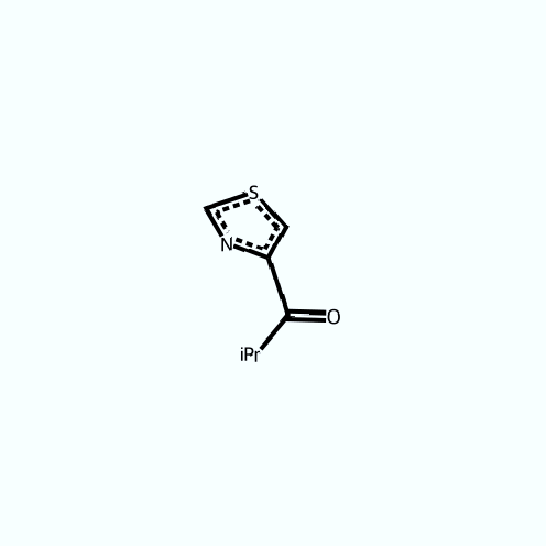 CC(C)C(=O)c1cscn1